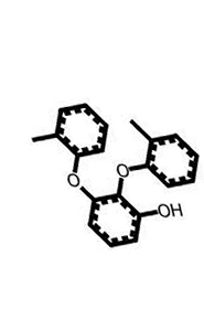 Cc1ccccc1Oc1cccc(O)c1Oc1ccccc1C